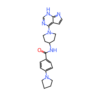 O=C(NC1CCN(c2nc[nH]c3nccc2-3)CC1)c1ccc(N2CCCC2)cc1